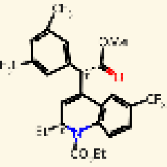 CCOC(=O)N1c2ccc(C(F)(F)F)cc2C([C@@H](C(=O)OC)c2cc(C(F)(F)F)cc(C(F)(F)F)c2)=C[C@@H]1CC